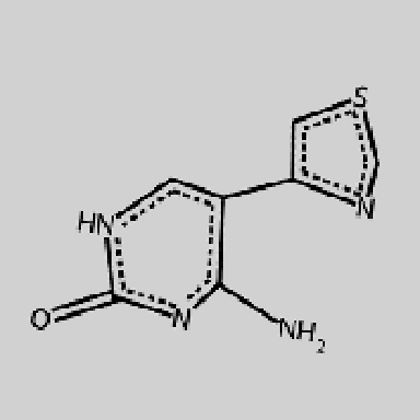 Nc1nc(=O)[nH]cc1-c1cscn1